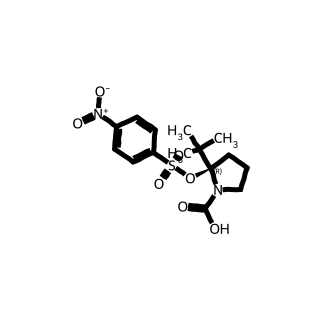 CC(C)(C)[C@]1(OS(=O)(=O)c2ccc([N+](=O)[O-])cc2)CCCN1C(=O)O